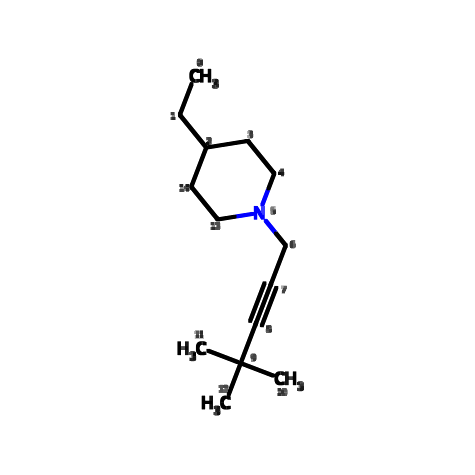 CCC1CCN(CC#CC(C)(C)C)CC1